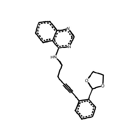 C(#Cc1ccccc1C1OCCO1)CCNc1ncnc2ccccc12